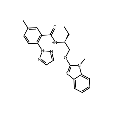 CC[C@@H](COc1nc2ccccc2n1C)NC(=O)c1cc(C)ccc1-n1nccn1